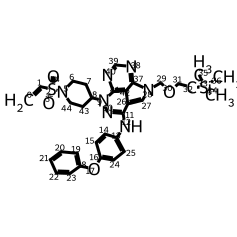 C=CS(=O)(=O)N1CCC(N2N=C(Nc3ccc(Oc4ccccc4)cc3)c3cn(COCC[Si](C)(C)C)c4ncnc2c34)CC1